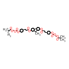 C=C(C)C(=O)OCOC(=O)Oc1ccc(C=CC(=O)Oc2ccc3c(c2)C(C)c2cc(OC(=O)C=Cc4ccc(OC(=O)OCOC(=O)C(=C)C)cc4)ccc2-3)cc1